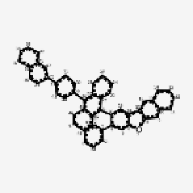 c1ccc(-c2cc3oc4cc5ccccc5cc4c3cc2-c2c3ccccc3c(-c3ccc(-c4ccc5ccccc5c4)cc3)c3ccccc23)cc1